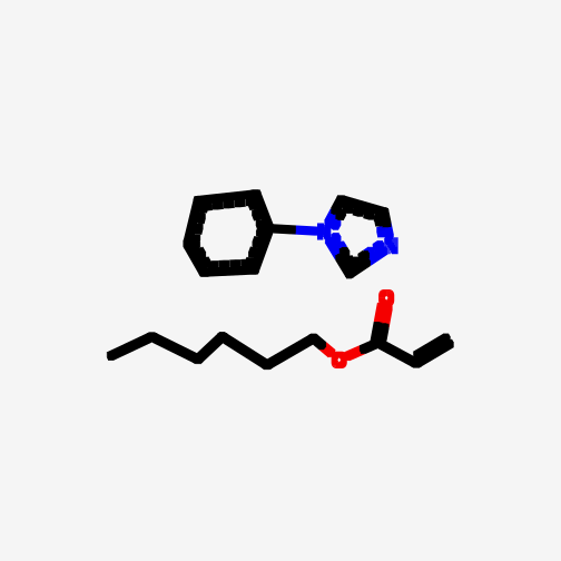 C=CC(=O)OCCCCCC.c1ccc(-n2ccnc2)cc1